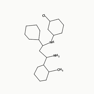 CC1CCCCC1C(N)CC(NC1CCCC(Cl)C1)C1CCCCC1